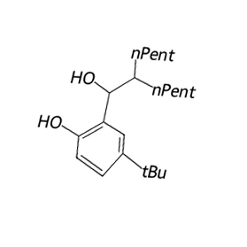 CCCCCC(CCCCC)C(O)c1cc(C(C)(C)C)ccc1O